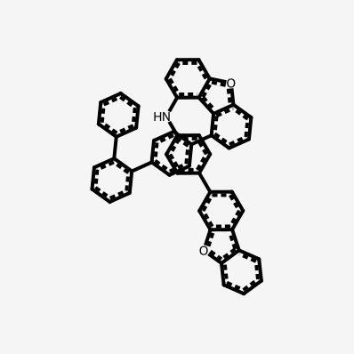 c1ccc(-c2ccccc2-c2ccc(-c3cccc4oc5cccc(Nc6ccc(-c7ccc8c(c7)oc7ccccc78)cc6)c5c34)cc2)cc1